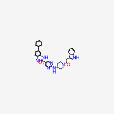 Nc1ccc(-c2ccccc2)cc1NC(=O)c1cnc(NC2CCN(C(=O)CC3=CNC4C=CC=CC34)CC2)nc1